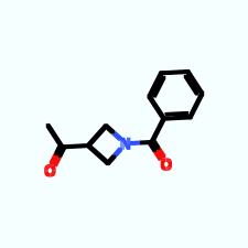 CC(=O)C1CN(C(=O)c2ccccc2)C1